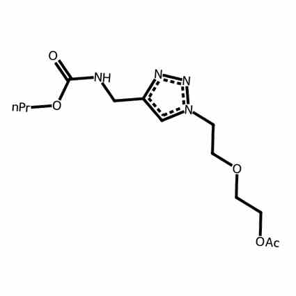 CCCOC(=O)NCc1cn(CCOCCOC(C)=O)nn1